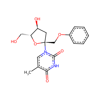 Cc1cn([C@@]2(COc3ccccc3)C[C@H](O)[C@@H](CO)O2)c(=O)[nH]c1=O